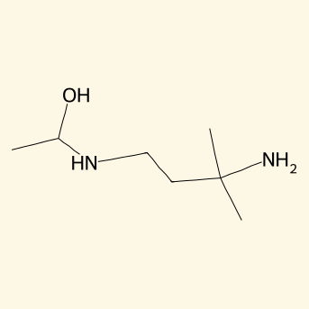 CC(O)NCCC(C)(C)N